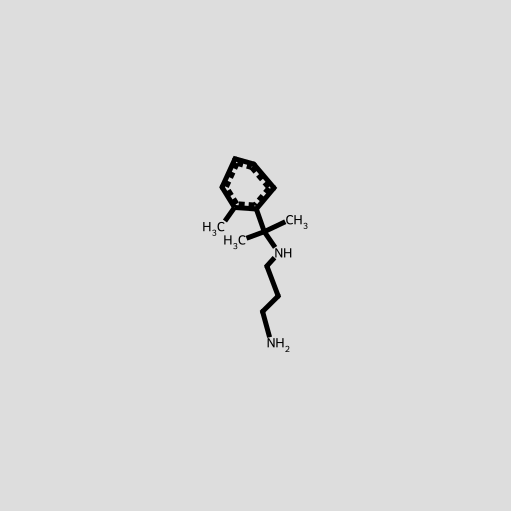 Cc1ccccc1C(C)(C)NCCCN